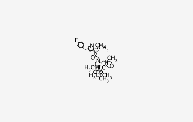 CC1CN(CC(=O)N2CC(C)(C)c3ncc(Cc4ccc(F)cc4)cc32)[C@@H](CN2[C@H](C)COC[C@H]2C)CN1C(=O)OC(C)(C)C